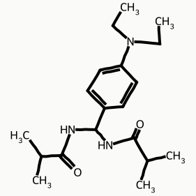 CCN(CC)c1ccc(C(NC(=O)C(C)C)NC(=O)C(C)C)cc1